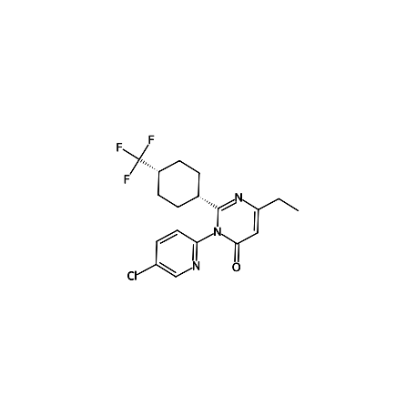 CCc1cc(=O)n(-c2ccc(Cl)cn2)c([C@H]2CC[C@@H](C(F)(F)F)CC2)n1